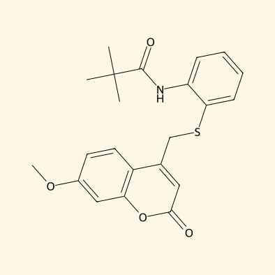 COc1ccc2c(CSc3ccccc3NC(=O)C(C)(C)C)cc(=O)oc2c1